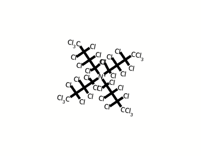 ClC(Cl)(Cl)C(Cl)(Cl)C(Cl)(Cl)C(Cl)(Cl)[N+](C(Cl)(Cl)C(Cl)(Cl)C(Cl)(Cl)C(Cl)(Cl)Cl)(C(Cl)(Cl)C(Cl)(Cl)C(Cl)(Cl)C(Cl)(Cl)Cl)C(Cl)(Cl)C(Cl)(Cl)C(Cl)(Cl)C(Cl)(Cl)Cl